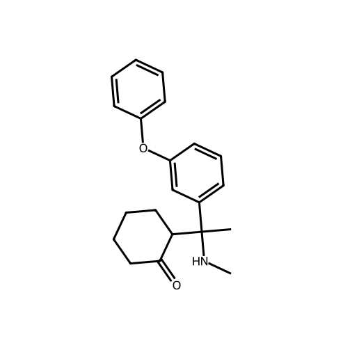 CNC(C)(c1cccc(Oc2ccccc2)c1)C1CCCCC1=O